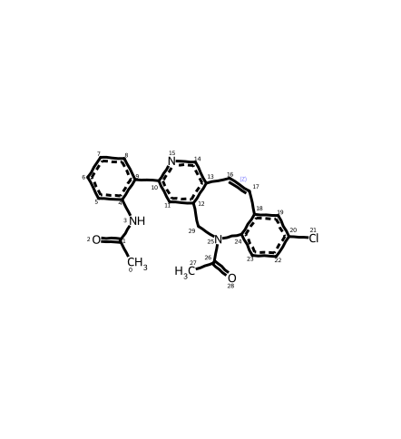 CC(=O)Nc1ccccc1-c1cc2c(cn1)/C=C\c1cc(Cl)ccc1N(C(C)=O)C2